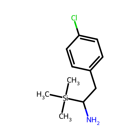 C[Si](C)(C)C(N)Cc1ccc(Cl)cc1